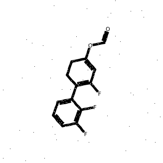 O=COC1=CC(F)=C(c2cccc(F)c2F)CC1